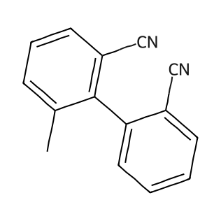 Cc1cccc(C#N)c1-c1ccccc1C#N